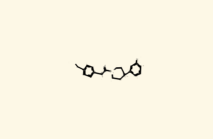 CC(C)Cc1ccc([C@H](C)C(=O)N2CCC(O)(c3cccc(C(F)(F)F)c3)CC2)cc1